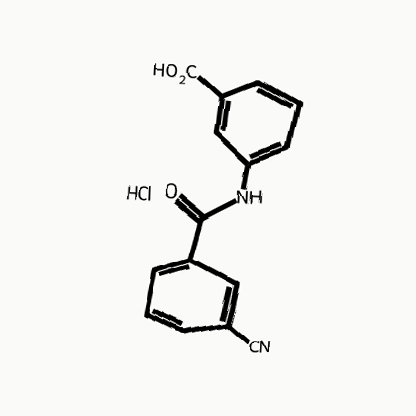 Cl.N#Cc1cccc(C(=O)Nc2cccc(C(=O)O)c2)c1